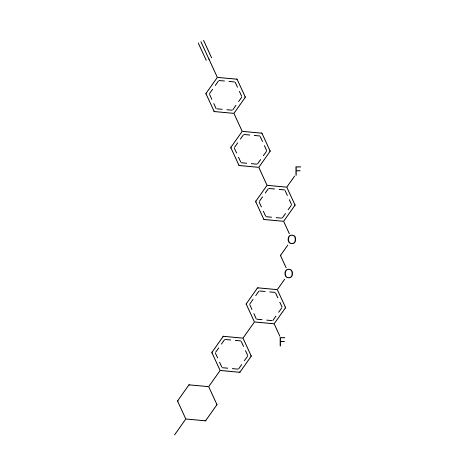 C#Cc1ccc(-c2ccc(-c3ccc(OCOc4ccc(-c5ccc(C6CCC(C)CC6)cc5)c(F)c4)cc3F)cc2)cc1